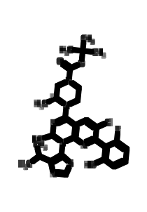 CC(C)c1ncsc1N1c2nc(-c3c(O)cccc3F)c(Cl)cc2C(N2CCN(C(=O)OC(C)(C)C)C[C@@H]2C)=NC1O